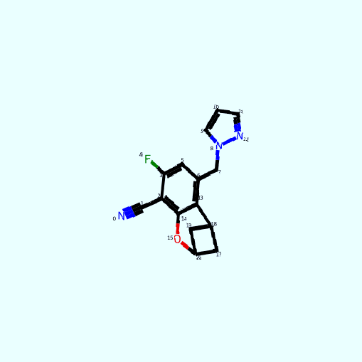 N#Cc1c(F)cc(Cn2cccn2)c2c1OC1CC2C1